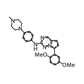 COc1ccc(OC)c(-c2ccc3cnc(Nc4ccc(N5CCN(C)CC5)cc4)nn23)c1